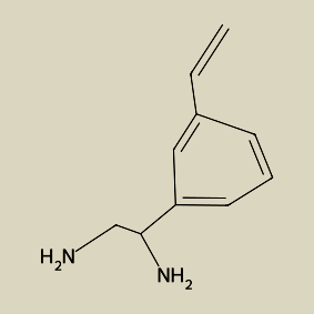 C=Cc1cccc(C(N)CN)c1